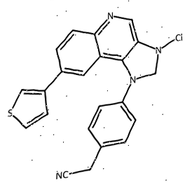 N#CCc1ccc(N2CN(Cl)c3cnc4ccc(-c5ccsc5)cc4c32)cc1